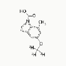 [2H]C([2H])([2H])Oc1cc(C)c2c(ccn2C(=O)O)c1